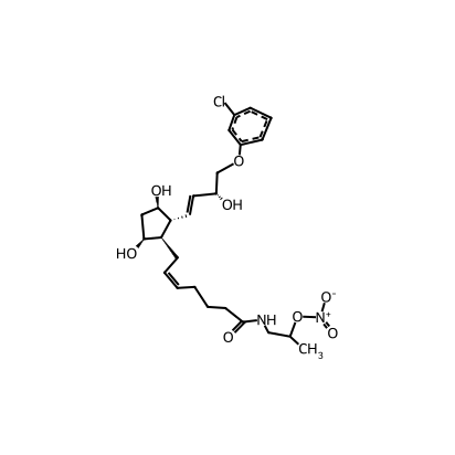 CC(CNC(=O)CCC/C=C\C[C@@H]1[C@@H](/C=C/[C@@H](O)COc2cccc(Cl)c2)[C@H](O)C[C@@H]1O)O[N+](=O)[O-]